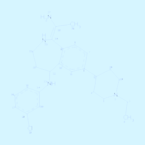 CCN1CCC(c2ccc3c(c2)C(Nc2cccc(Cl)c2)CCN/C3=C(/C)N)CC1